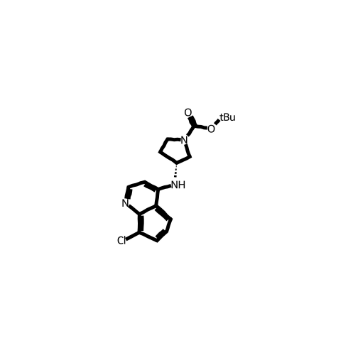 CC(C)(C)OC(=O)N1CC[C@@H](Nc2ccnc3c(Cl)cccc23)C1